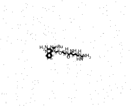 CCCCc1nc2c(N)nc3ccccc3c2n1CCOCCNC(=O)[C@@H](N)CCCNC(=N)N